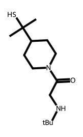 CC(C)(C)NCC(=O)N1CCC(C(C)(C)S)CC1